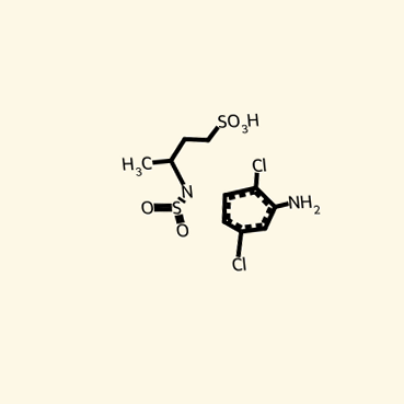 CC(CCS(=O)(=O)O)N=S(=O)=O.Nc1cc(Cl)ccc1Cl